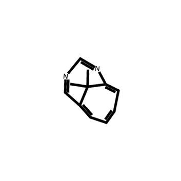 CC1(C)C2=CC=CC=C1N=CN=C2